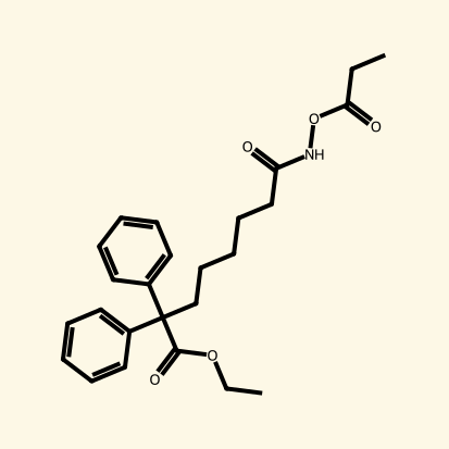 CCOC(=O)C(CCCCCC(=O)NOC(=O)CC)(c1ccccc1)c1ccccc1